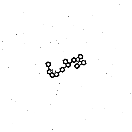 c1ccc(-c2ccc3ccc4ccc(-c5ccc(-c6ccc(-c7ccc8c(c7)C7(c9ccccc9-c9ccccc97)c7ccccc7-8)c7ccccc67)cc5)nc4c3n2)cc1